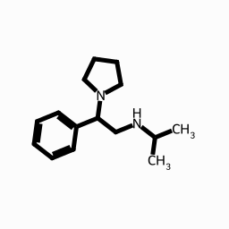 CC(C)NCC(c1ccccc1)N1CCCC1